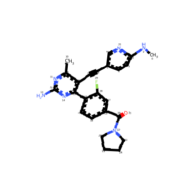 CNc1ccc(C#Cc2c(C)nc(N)nc2-c2ccc(C(=O)N3CCCC3)cc2F)cn1